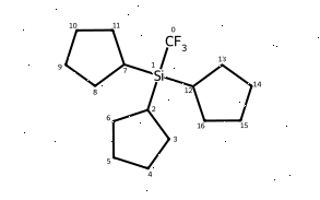 FC(F)(F)[Si](C1CCCC1)(C1CCCC1)C1CCCC1